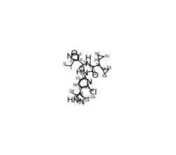 CCc1nocc1C(=O)N[C@H](C(=O)Nc1ccc(-c2c(C)n[nH]c2C)c(Cl)n1)C(C1CC1)C1CC1